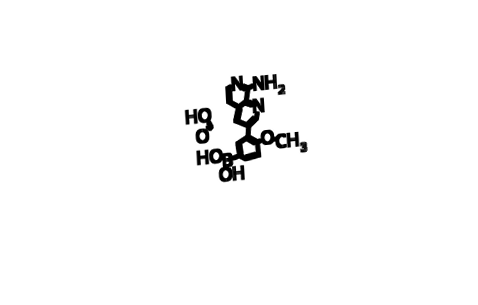 COc1ccc(B(O)O)cc1-c1cnc2c(N)nccc2c1.O=CO